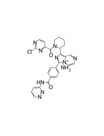 N[N+]12C=CN=CC1=C(C1CCCCN1C(=O)c1ccnc(Cl)n1)N=C2c1ccc(C(=O)Nc2cccnn2)cc1